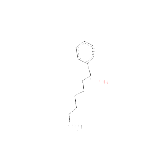 O=C(O)CCCCC[C@@H](O)c1ccccc1